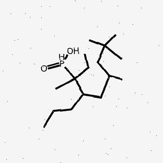 CCCC(CC(C)CC(C)(C)C)C(C)(CC)[PH](=O)O